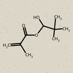 C=C(C)C(=O)OC(O)C(C)(C)C